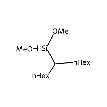 CCCCCCC(CCCCCC)[SiH](OC)OC